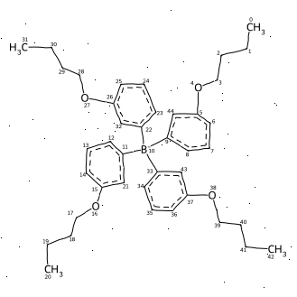 CCCCOc1cccc([B-](c2cccc(OCCCC)c2)(c2cccc(OCCCC)c2)c2cccc(OCCCC)c2)c1